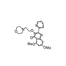 COc1cc(OC)c2c(=O)n(OCCN3CCOCC3)c(-c3ccccn3)nc2c1